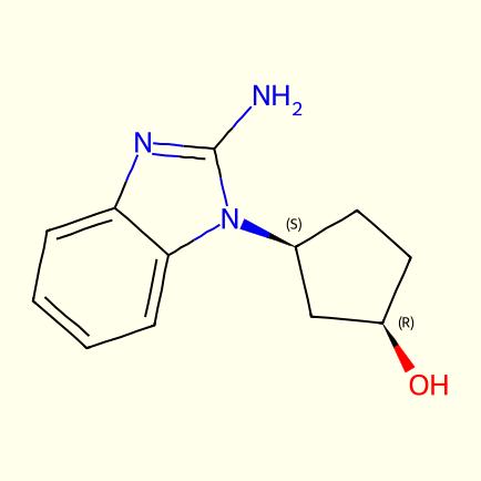 Nc1nc2ccccc2n1[C@H]1CC[C@@H](O)C1